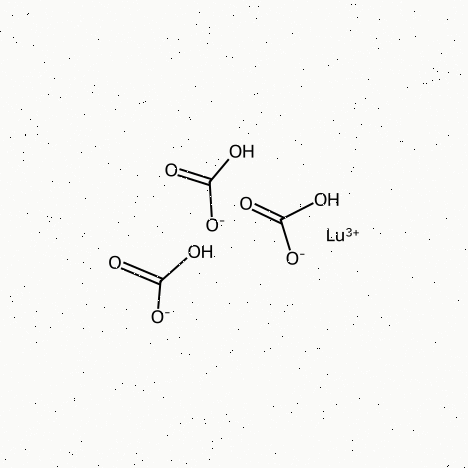 O=C([O-])O.O=C([O-])O.O=C([O-])O.[Lu+3]